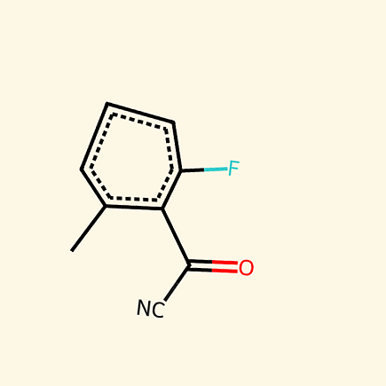 Cc1cccc(F)c1C(=O)C#N